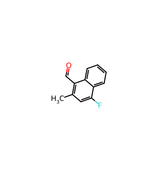 Cc1cc(F)c2ccccc2c1C=O